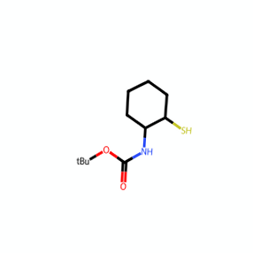 CC(C)(C)OC(=O)NC1CCCCC1S